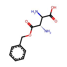 NC(C(=O)O)[C@H](N)C(=O)OCc1ccccc1